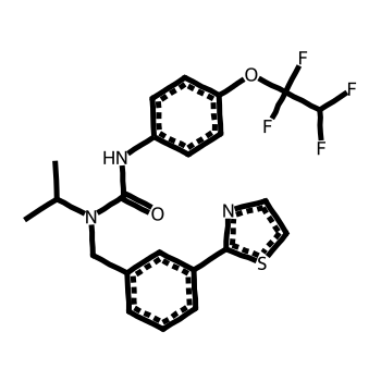 CC(C)N(Cc1cccc(-c2nccs2)c1)C(=O)Nc1ccc(OC(F)(F)C(F)F)cc1